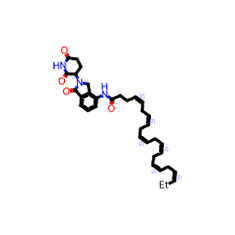 CC/C=C\C/C=C\C/C=C\C/C=C\C/C=C\C/C=C\CCC(=O)Nc1cccc2c1CN(C1CCC(=O)NC1=O)C2=O